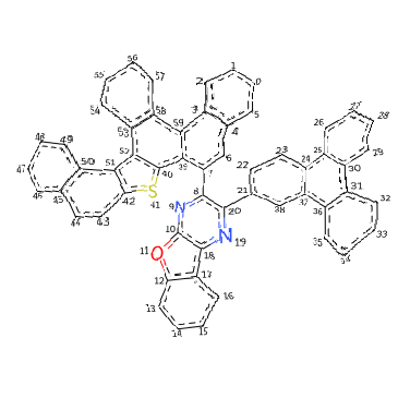 c1ccc2c(c1)cc(-c1nc3oc4ccccc4c3nc1-c1ccc3c4ccccc4c4ccccc4c3c1)c1c3sc4ccc5ccccc5c4c3c3ccccc3c21